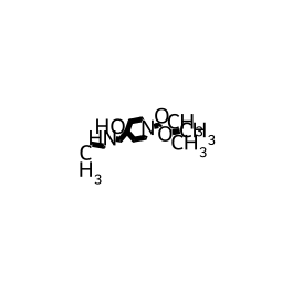 CCCNCC1(O)CCN(C(=O)OC(C)(C)C)CC1